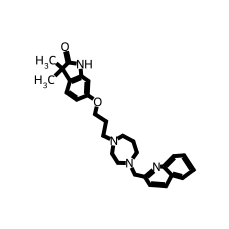 CC1(C)C(=O)Nc2cc(OCCCN3CCCN(Cc4ccc5ccccc5n4)CC3)ccc21